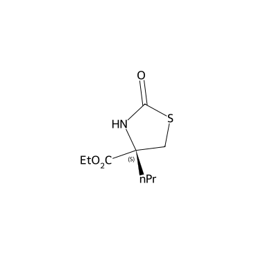 CCC[C@]1(C(=O)OCC)CSC(=O)N1